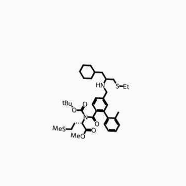 CCSCC(CC1CCCCC1)NCc1ccc(C(=O)N(C(=O)OC(C)(C)C)[C@@H](CCSC)C(=O)OC)c(-c2ccccc2C)c1